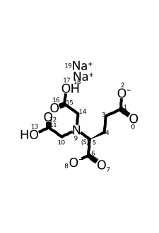 O=C([O-])CC[C@@H](C(=O)[O-])N(CC(=O)O)CC(=O)O.[Na+].[Na+]